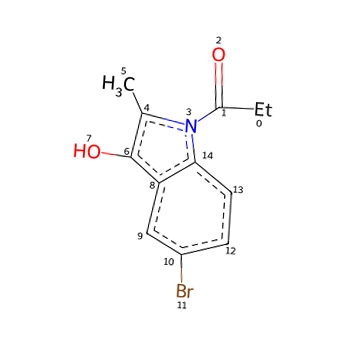 CCC(=O)n1c(C)c(O)c2cc(Br)ccc21